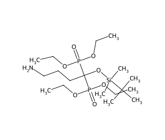 CCOP(=O)(OCC)C(CCCN)(O[Si](C)(C)C(C)(C)C)P(=O)(OCC)OCC